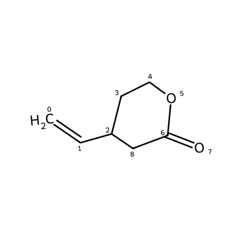 C=CC1CCOC(=O)C1